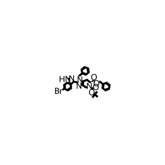 CC(C)(C)OC(=O)N1Cc2nc(-c3n[nH]c4cc(Br)ccc34)n(Cc3ccccc3)c2C[C@H]1C(=O)OCc1ccccc1